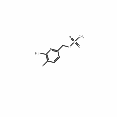 Cc1nc(COS(C)(=O)=O)ccc1F